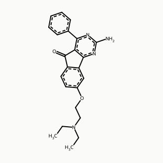 CCN(CC)CCOc1ccc2c(c1)-c1nc(N)nc(-c3ccccc3)c1C2=O